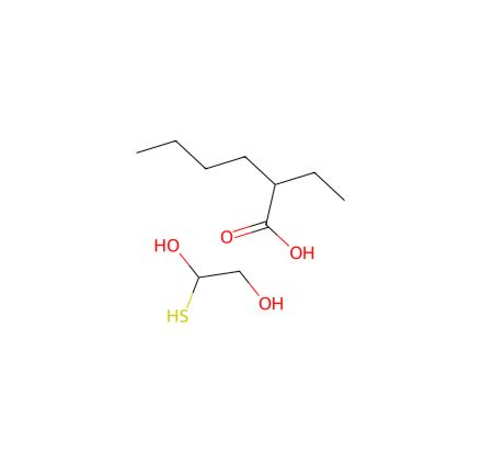 CCCCC(CC)C(=O)O.OCC(O)S